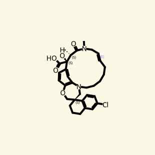 C[C@@H]1C(=O)N(C)C/C=C/CCCCCN2C[C@@]3(CCCc4cc(Cl)ccc43)COc3ccc(cc32)[C@]1(O)C(=O)O